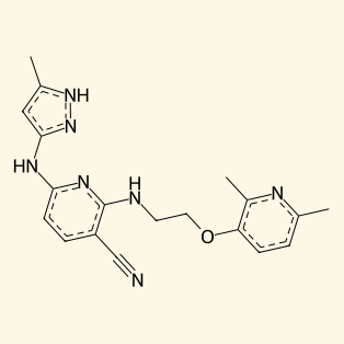 Cc1ccc(OCCNc2nc(Nc3cc(C)[nH]n3)ccc2C#N)c(C)n1